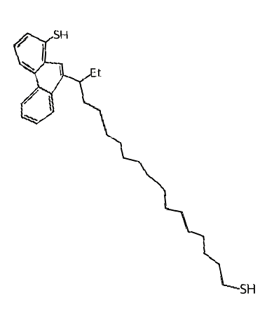 CCC(CCCCCCCCCCCCCCCS)c1cc2c(S)cccc2c2ccccc12